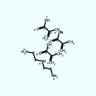 C=C(C)C(=O)O.C=C(C)C(=O)O.C=C(C)C(=O)O.NCCNCCN